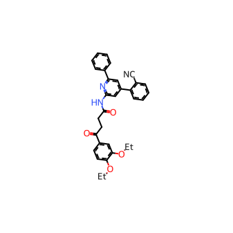 CCOc1ccc(C(=O)CCC(=O)Nc2cc(-c3ccccc3C#N)cc(-c3ccccc3)n2)cc1OCC